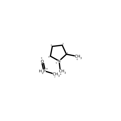 CC1CCCN1C.C[PH2]=O